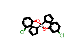 Clc1cccc([O][Zr]([O]c2cccc(Cl)c2)([C]2=CC=CC2)[C]2=CC=CC2)c1